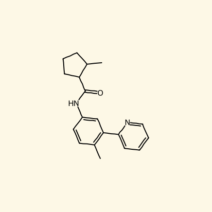 Cc1ccc(NC(=O)C2CCCC2C)cc1-c1ccccn1